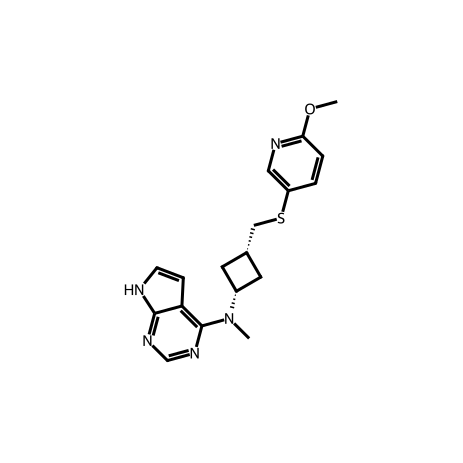 COc1ccc(SC[C@H]2C[C@@H](N(C)c3ncnc4[nH]ccc34)C2)cn1